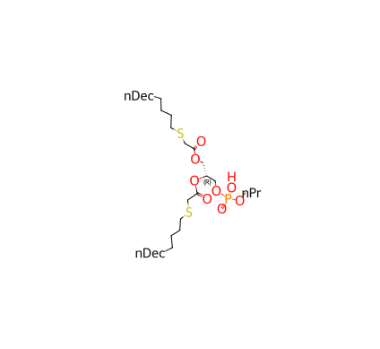 CCCCCCCCCCCCCCSCC(=O)OC[C@H](COP(=O)(O)OCCC)OC(=O)CSCCCCCCCCCCCCCC